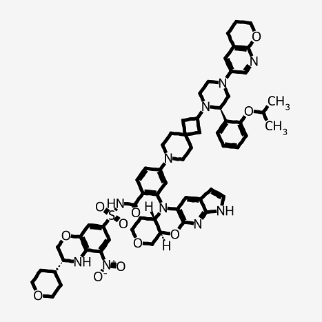 CC(C)Oc1ccccc1[C@@H]1CN(c2cnc3c(c2)CCCO3)CCN1C1CC2(CCN(c3ccc(C(=O)NS(=O)(=O)c4cc5c(c([N+](=O)[O-])c4)N[C@H](C4CCOCC4)CO5)c(N4c5cc6cc[nH]c6nc5O[C@H]5COCC[C@@H]54)c3)CC2)C1